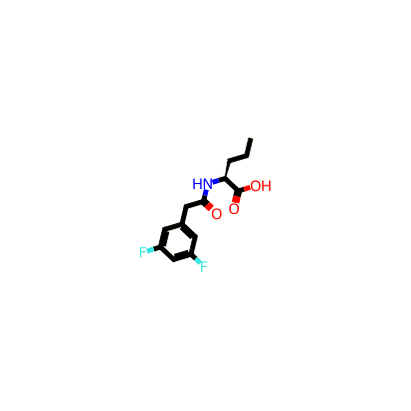 CCC[C@H](NC(=O)Cc1cc(F)cc(F)c1)C(=O)O